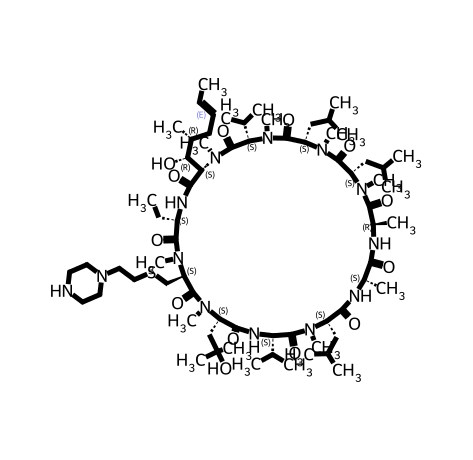 C/C=C/C[C@@H](C)[C@@H](O)[C@H]1C(=O)N[C@@H](CC)C(=O)N(C)[C@H](CSCCN2CCNCC2)C(=O)N(C)[C@@H](CC(C)(C)O)C(=O)N[C@@H](C(C)C)C(=O)N(C)[C@@H](CC(C)C)C(=O)N[C@@H](C)C(=O)N[C@H](C)C(=O)N(C)[C@@H](CC(C)C)C(=O)N(C)[C@@H](CC(C)C)C(=O)N(C)[C@@H](C(C)C)C(=O)N1C